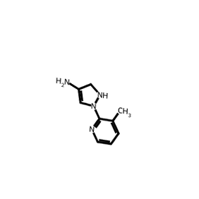 Cc1cccnc1N1C=C(N)CN1